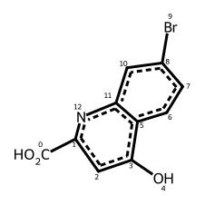 O=C(O)c1cc(O)c2ccc(Br)cc2n1